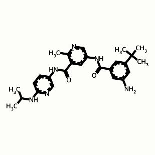 Cc1ncc(NC(=O)c2cc(N)cc(C(C)(C)C)c2)cc1C(=O)Nc1ccc(NC(C)C)nc1